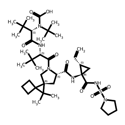 C=C[C@@H]1C[C@]1(NC(=O)[C@@H]1C[C@@]2(CN1C(=O)[C@@H](NC(=O)[C@@H](N(C(=O)O)C(C)(C)C)C(C)(C)C)C(C)(C)C)C(C)(C)C21CCC1)C(=O)NS(=O)(=O)N1CCCC1